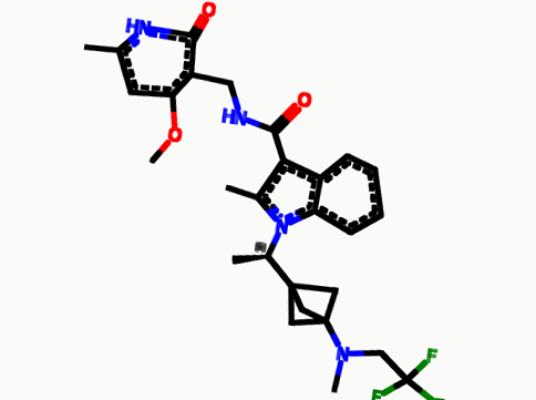 COc1cc(C)[nH]c(=O)c1CNC(=O)c1c(C)n([C@H](C)C23CC(N(C)CC(F)(F)F)(C2)C3)c2ccccc12